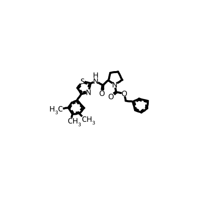 Cc1cc(-c2csc(NC(=O)C3CCCN3C(=O)OCc3ccccc3)n2)cc(C)c1C